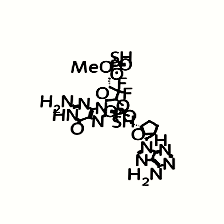 COP(=O)(S)OC[C@H]1O[C@@H](n2cnc3c(=O)[nH]c(N)nc32)[C@H](OP(=O)(S)OC[C@]23CC[C@H](C2)[C@H](n2cnc4c(N)ncnc42)O3)C1(F)F